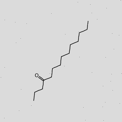 CCCCCCCCCCC(=O)CCC